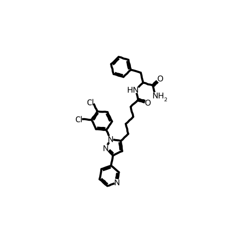 NC(=O)C(Cc1ccccc1)NC(=O)CCCCc1cc(-c2cccnc2)nn1-c1ccc(Cl)c(Cl)c1